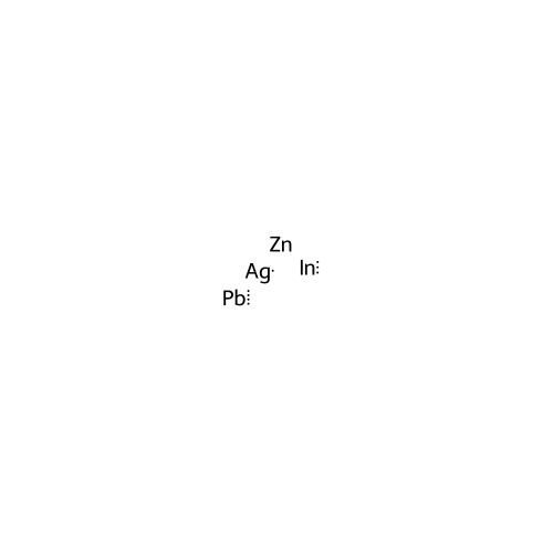 [Ag].[In].[Pb].[Zn]